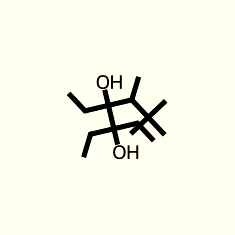 CCC(O)(CC)C(O)(CC)C(C)C(C)(C)C